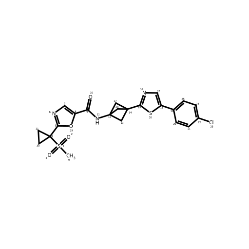 CS(=O)(=O)C1(c2ncc(C(=O)NC34CC(c5ncc(-c6ccc(Cl)cc6)s5)(C3)C4)o2)CC1